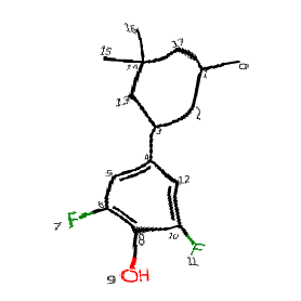 CC1CC(c2cc(F)c(O)c(F)c2)CC(C)(C)C1